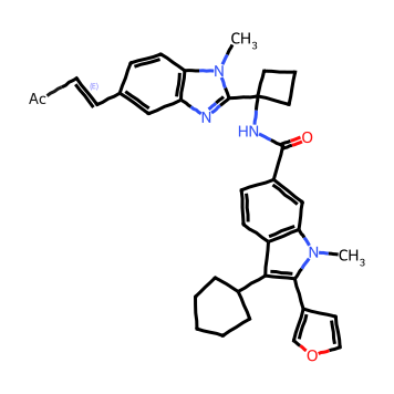 CC(=O)/C=C/c1ccc2c(c1)nc(C1(NC(=O)c3ccc4c(C5CCCCC5)c(-c5ccoc5)n(C)c4c3)CCC1)n2C